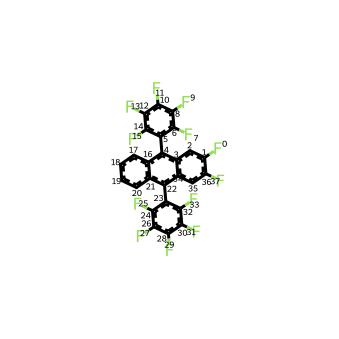 Fc1cc2c(-c3c(F)c(F)c(F)c(F)c3F)c3ccccc3c(-c3c(F)c(F)c(F)c(F)c3F)c2cc1F